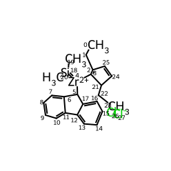 CCC1=[C]([Zr+2]([CH]2c3ccccc3-c3ccccc32)=[Si](C)C)C(CC)C=C1.[Cl-].[Cl-]